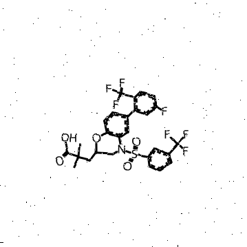 CC(C)(CC1CN(S(=O)(=O)c2cccc(C(F)(F)F)c2)c2cc(-c3cc(F)ccc3C(F)(F)F)ccc2O1)C(=O)O